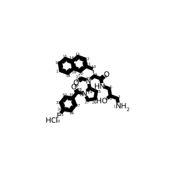 Cl.NCC(O)CNC(=O)[C@@H](Cc1ccc2ccccc2c1)N(C=O)C1CCCN1C(=O)c1ccc(F)cc1